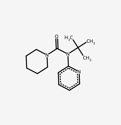 CC(C)(C)N(C(=O)N1CCCCC1)c1ccccn1